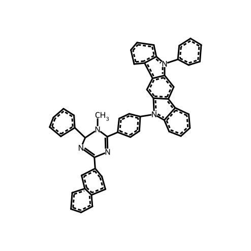 CN1C(c2ccc(-n3c4ccccc4c4cc5c(cc43)c3ccccc3n5-c3ccccc3)cc2)=NC(c2ccc3ccccc3c2)=NC1c1ccccc1